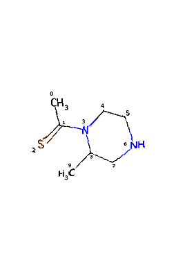 CC(=S)N1CCNCC1C